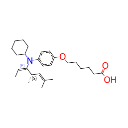 C/C=C(\[C@@H](C)C=C(C)C)N(c1ccc(OCCCCCC(=O)O)cc1)C1CCCCC1